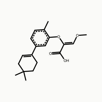 CO/C=C(\Oc1cc(C2=CCC(C)(C)CC2)ccc1C)C(=O)O